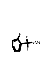 CSC(F)(F)c1ccccc1F